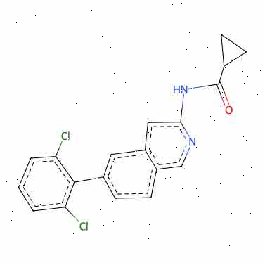 O=C(Nc1cc2cc(-c3c(Cl)cccc3Cl)ccc2cn1)C1CC1